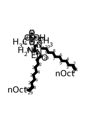 CCCCCCCC/C=C\CCCCCCCCC1N(C)CC(N)(CC)N1C(=O)CCCCCCC/C=C\CCCCCCCC.COS(=O)(=O)O